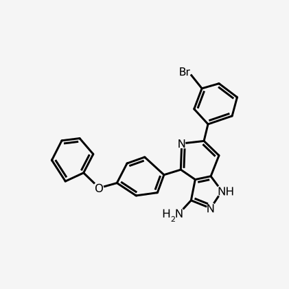 Nc1n[nH]c2cc(-c3cccc(Br)c3)nc(-c3ccc(Oc4ccccc4)cc3)c12